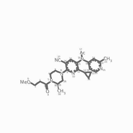 COCCC(=O)N1CCN(c2nc(C3CC3)c(N(C(C)=O)c3ccnc(C)c3)cc2C#N)C[C@H]1C